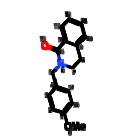 COc1ccc(CN2CCc3ccccc3C2=O)cc1